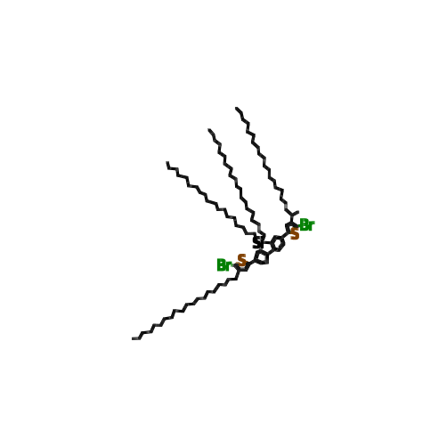 CCCCCCCCCCCCCCCCCCCCc1cc(-c2ccc3c(c2)[Si](CCCCCCCCCCCCCCCCCCCC)(CCCCCCCCCCCCCCCCCCCC)c2cc(-c4cc(C(C)CCCCCCCCCCCCCCCCCCC)c(Br)s4)ccc2-3)sc1Br